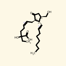 CCCCCC/C=C/[C@H]1[C@H](CO)CC(=O)[C@@H]1C/C=C\CCC(O)(CC)C(=O)O